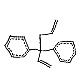 C=CCC(C=C)(c1ccccc1)c1ccccc1